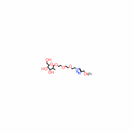 CC(C)OCc1cn(CCOCCOCCOC2OC(CO)C(O)C(O)C2C)nn1